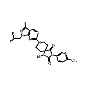 CCN1C(=O)N(c2ccc(C(F)(F)F)nc2)C(=O)C12CCN(c1ncc3c(C)nn(CC(F)F)c3n1)CC2